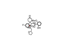 COc1cccc(O)c1C(=O)NC(C1(c2cccc(F)c2)CCNCC1)S(=O)(=O)NCC1CCCO1